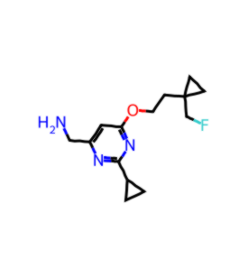 NCc1cc(OCCC2(CF)CC2)nc(C2CC2)n1